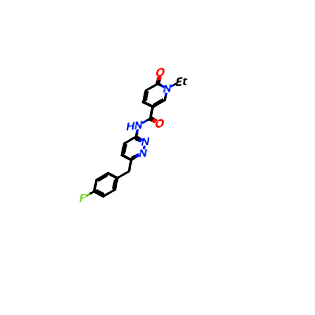 CCn1cc(C(=O)Nc2ccc(Cc3ccc(F)cc3)nn2)ccc1=O